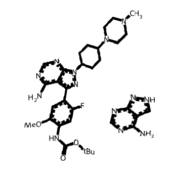 COc1cc(-c2nn(C3CCC(N4CCN(C)CC4)CC3)c3ncnc(N)c23)c(F)cc1NC(=O)OC(C)(C)C.Nc1ncnc2n[nH]cc12